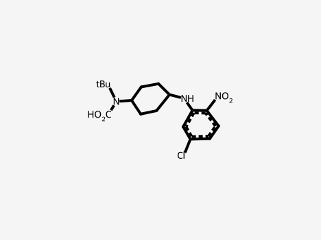 CC(C)(C)N(C(=O)O)C1CCC(Nc2cc(Cl)ccc2[N+](=O)[O-])CC1